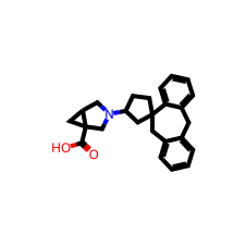 O=C(O)C12CC1CN(C1CCC3(Cc4ccccc4Cc4ccccc43)C1)C2